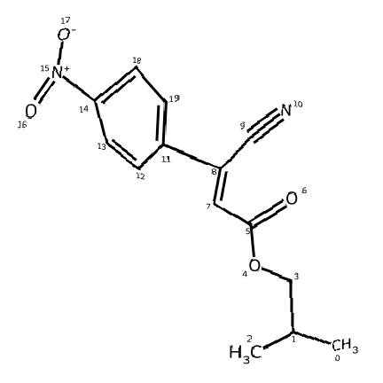 CC(C)COC(=O)C=C(C#N)c1ccc([N+](=O)[O-])cc1